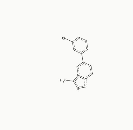 Cc1ncc2ccc(-c3cccc(Cl)c3)cn12